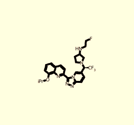 CC(C)Oc1cccc2ccc(-c3nnc4ccc([C@@H](N5CCC(NCCF)C5)C(F)(F)F)cn34)nc12